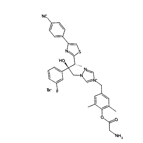 Cc1cc(C[n+]2cnn(C[C@](O)(c3cccc(F)c3)[C@@H](C)c3nc(-c4ccc(C#N)cc4)cs3)c2)cc(C)c1OC(=O)CN.[Br-]